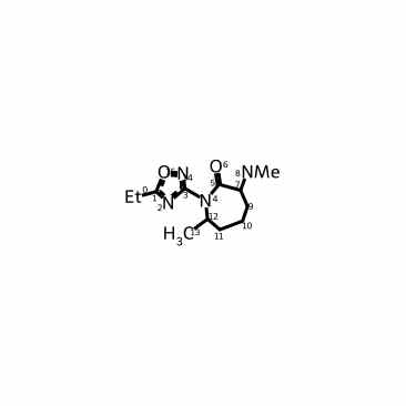 CCc1nc(N2C(=O)C(NC)CCCC2C)no1